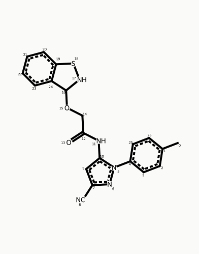 Cc1ccc(-n2nc(C#N)cc2NC(=O)COC2NSc3ccccc32)cc1